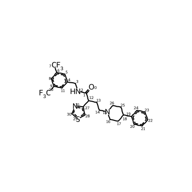 O=C(NCc1cc(C(F)(F)F)cc(C(F)(F)F)c1)C(CCN1CCC(c2ccccc2)CC1)c1cscn1